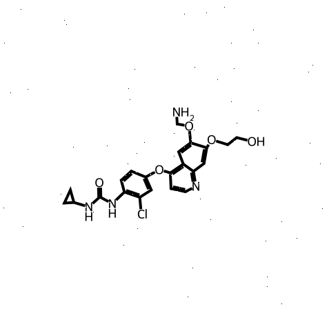 NCOc1cc2c(Oc3ccc(NC(=O)NC4CC4)c(Cl)c3)ccnc2cc1OCCO